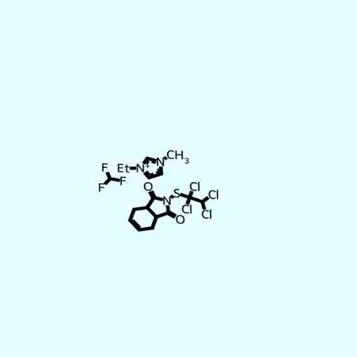 CC[n+]1ccn(C)c1.FC(F)F.O=C1C2CC=CCC2C(=O)N1SC(Cl)(Cl)C(Cl)Cl